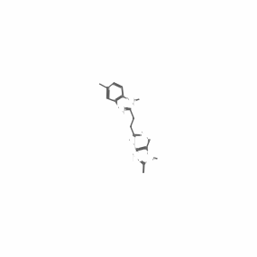 Cc1ccc2c(c1)nc(CCc1ncc3c(n1)nc(C)n3C)n2C